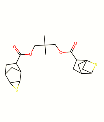 CC(C)(COC(=O)C1CC2CC1C1SC21)COC(=O)C1CC2CC13CC2S3